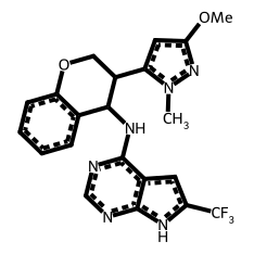 COc1cc(C2COc3ccccc3C2Nc2ncnc3[nH]c(C(F)(F)F)cc23)n(C)n1